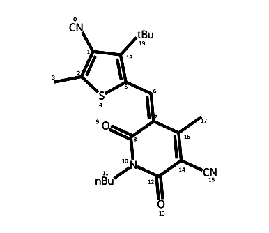 [C-]#[N+]c1c(C)sc(/C=C2\C(=O)N(CCCC)C(=O)C(C#N)=C2C)c1C(C)(C)C